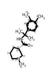 Cc1ccc(C(C)(C)NC(=O)[C@H]2CCCN(C)C2)cc1C